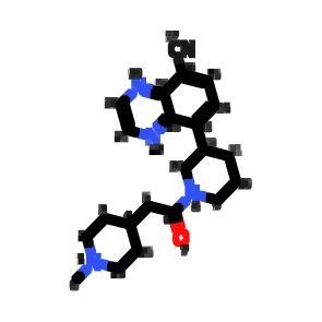 CN1CCC(CC(=O)N2CCCC(c3ccc(C#N)c4nccnc34)C2)CC1